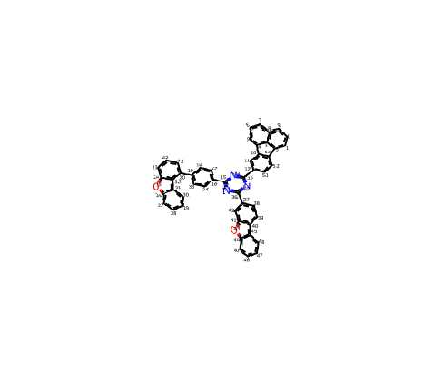 c1cc2c3c(cccc3c1)-c1cc(-c3nc(-c4ccc(-c5cccc6oc7ccccc7c56)cc4)nc(-c4ccc5c(c4)oc4ccccc45)n3)ccc1-2